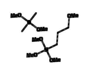 COCCC[Si](OC)(OC)OC.CO[Si](C)(C)OC